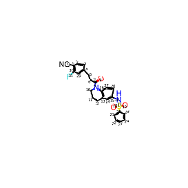 N#Cc1ccc(CCC(=O)N2CCCc3cc(NS(=O)(=O)c4ccccc4)ccc32)cc1F